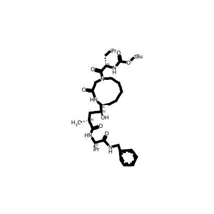 CC(C)C[C@H](NC(=O)OC(C)(C)C)C(=O)N1CCCCC[C@@H]([C@@H](O)C[C@@H](C)C(=O)N[C@H](C(=O)NCc2ccccc2)C(C)C)NC(=O)C1